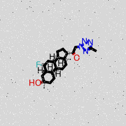 Cc1nnn(CC(=O)[C@H]2CC[C@H]3[C@@H]4C[C@@H](F)[C@H]5C[C@](C)(O)CC[C@@H]5[C@H]4CC[C@]23C)n1